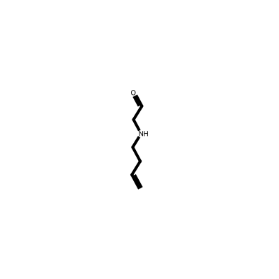 C=CCCNCC=O